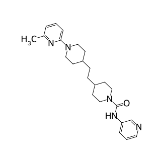 Cc1cccc(N2CCC(CCC3CCN(C(=O)Nc4cccnc4)CC3)CC2)n1